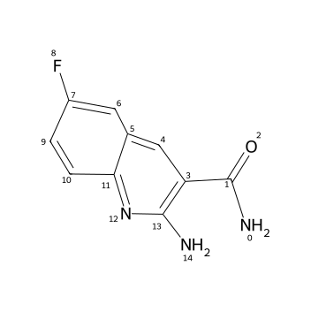 NC(=O)c1cc2cc(F)ccc2nc1N